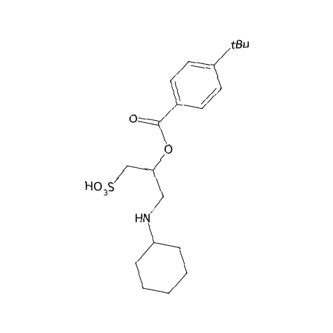 CC(C)(C)c1ccc(C(=O)OC(CNC2CCCCC2)CS(=O)(=O)O)cc1